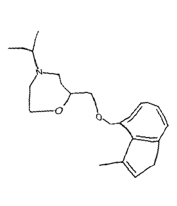 CC1=CCc2cccc(OCC3CN(C(C)C)CCO3)c21